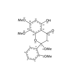 COc1ccccc1C1(OC)CC(=O)c2c(O)cc(OC)c(OC)c2O1